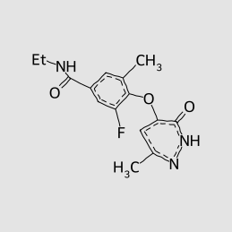 CCNC(=O)c1cc(C)c(Oc2cc(C)n[nH]c2=O)c(F)c1